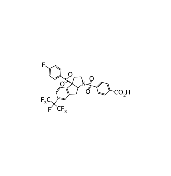 O=C(O)c1ccc(S(=O)(=O)N2CC[C@@]3(S(=O)(=O)c4ccc(F)cc4)c4ccc(C(F)(C(F)(F)F)C(F)(F)F)cc4CC23)cc1